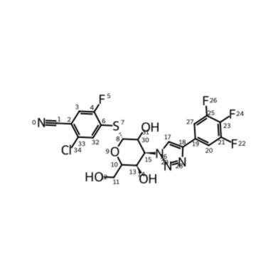 N#Cc1cc(F)c(S[C@H]2OC(CO)[C@H](O)[C@H](n3cc(-c4cc(F)c(F)c(F)c4)nn3)C2O)cc1Cl